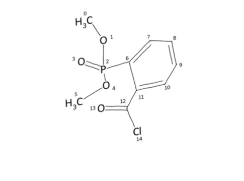 COP(=O)(OC)c1ccccc1C(=O)Cl